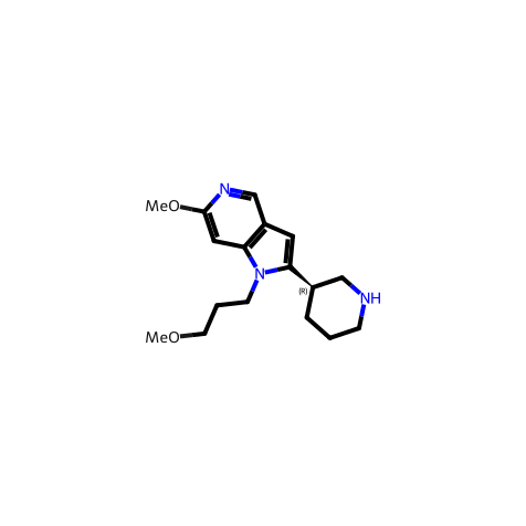 COCCCn1c([C@@H]2CCCNC2)cc2cnc(OC)cc21